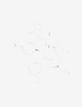 CC[C@@H](CS(=O)(=O)C(C)(C)C)N1C(=O)[C@@](C)(CC(=O)C(C)(C)C)C[C@H](c2cccc(Cl)c2)[C@H]1c1ccc(Cl)cc1